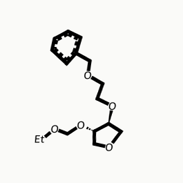 CCOCO[C@H]1COC[C@@H]1OCCOCc1ccccc1